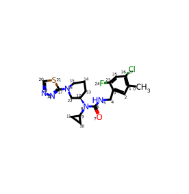 Cc1cc(CNC(=O)N(C2CC2)[C@@H]2CCCN(c3nncs3)C2)c(F)cc1Cl